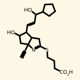 C#CC12CC(O)C(C=CC(O)C3CCCC3)C1CC(SCCCC(=O)O)=N2